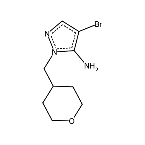 Nc1c(Br)cnn1CC1CCOCC1